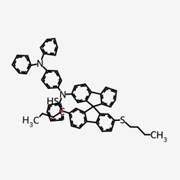 CCCCSc1ccc2c(c1)C1(c3ccccc3-c3ccc(N(c4ccccc4)c4ccc(N(c5ccccc5)c5ccccc5)cc4)cc31)c1cc(C(S)CCC)ccc1-2